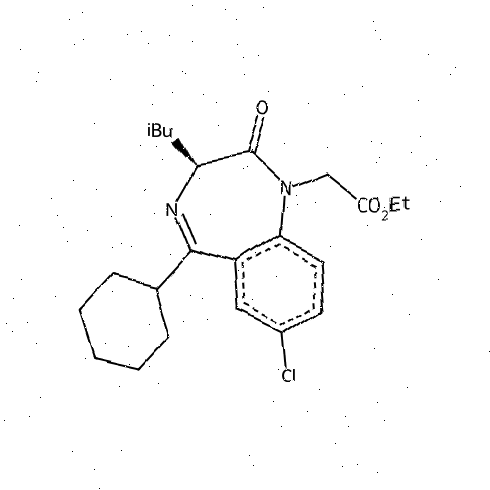 CCOC(=O)CN1C(=O)[C@H](C(C)CC)N=C(C2CCCCC2)c2cc(Cl)ccc21